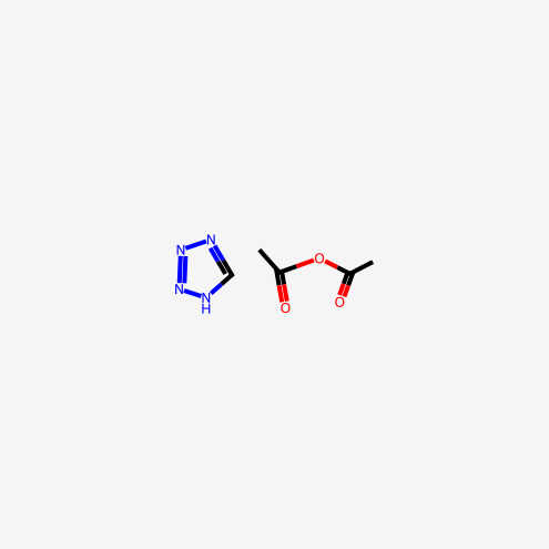 CC(=O)OC(C)=O.c1nnn[nH]1